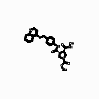 CC(C)(C)OC(=O)N1C[C@H](C(=O)NO)[C@@H](C(=O)Nc2ccc(COc3ccnc4ccccc34)cc2)C1